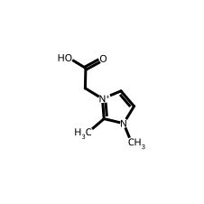 Cc1n(C)cc[n+]1CC(=O)O